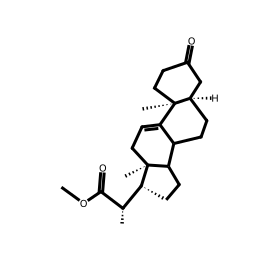 COC(=O)[C@@H](C)[C@H]1CCC2C3CC[C@@H]4CC(=O)CC[C@]4(C)C3=CC[C@@]21C